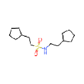 O=S(=O)(CCC1CCCC1)NCCC1CCCC1